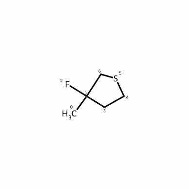 CC1(F)CCSC1